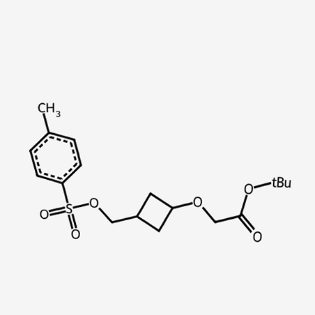 Cc1ccc(S(=O)(=O)OCC2CC(OCC(=O)OC(C)(C)C)C2)cc1